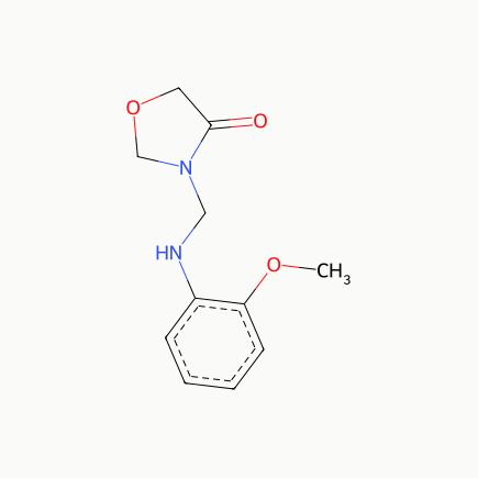 COc1ccccc1NCN1COCC1=O